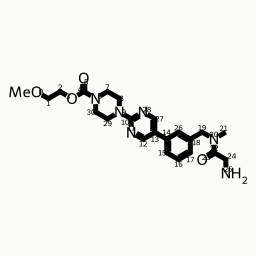 COCCOC(=O)N1CCN(c2ncc(-c3cccc(CN(C)C(=O)CN)c3)cn2)CC1